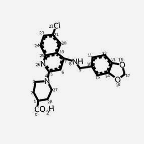 O=C(O)C1CCN(c2cc(NCc3ccc4c(c3)OCO4)c3cc(Cl)ccc3n2)CC1